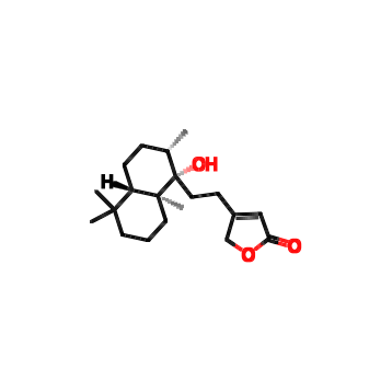 C[C@H]1CC[C@H]2C(C)(C)CCC[C@]2(C)[C@]1(O)CCC1=CC(=O)OC1